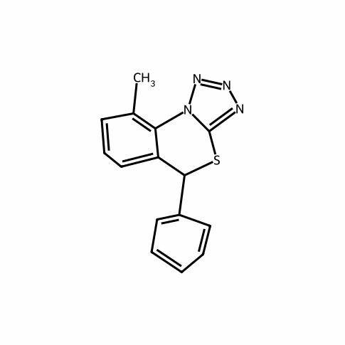 Cc1cccc2c1-n1nnnc1SC2c1ccccc1